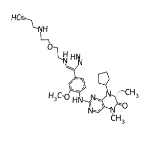 C#CCCNCCOCCN/C=C(\N=N)c1ccc(Nc2ncc3c(n2)N(C2CCCC2)[C@H](CC)C(=O)N3C)c(OC)c1